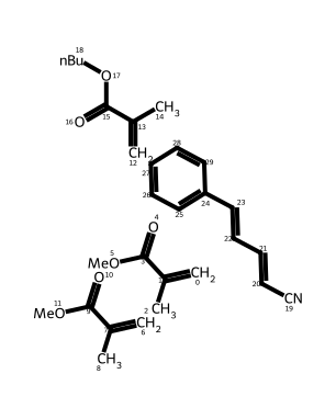 C=C(C)C(=O)OC.C=C(C)C(=O)OC.C=C(C)C(=O)OCCCC.N#CC=CC=Cc1ccccc1